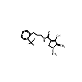 C=C1C(O)=C(C(=O)NCCCc2ccccc2C(F)(F)F)CN1C